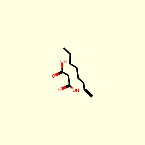 C=CCCCCCC.O=C(O)CC(=O)O